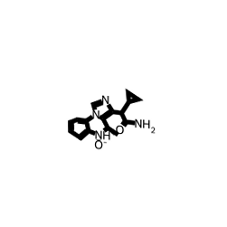 CC1c2c(C(C(N)=O)C3CC3)ncn2-c2ccccc2[NH+]1[O-]